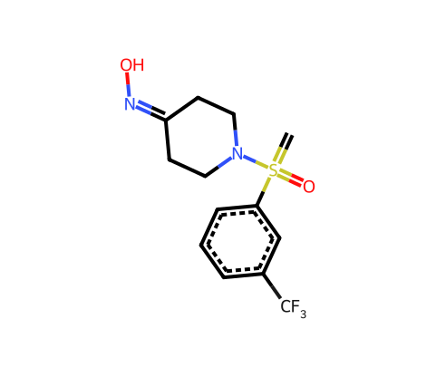 C=S(=O)(c1cccc(C(F)(F)F)c1)N1CCC(=NO)CC1